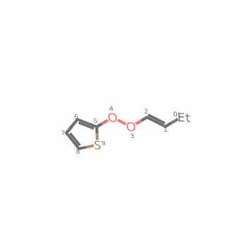 CCC=COOc1cccs1